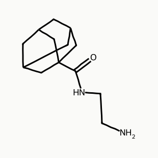 NCCNC(=O)C12CC3CC(CC(C3)C1)C2